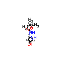 CC(C)(C)OC(=O)NC[C@H]1C[C@@H](O)CN1